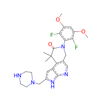 COc1cc(OC)c(F)c(N2Cc3cnc4[nH]c(CN5CCNCC5)cc4c3C(C)(C)C2=O)c1F